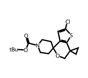 CC(C)(C)OC(=O)N1CCC2(CC1)OCC1(CC1)c1sc(Cl)cc12